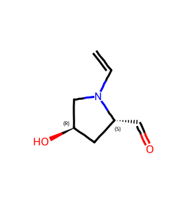 C=CN1C[C@H](O)C[C@H]1C=O